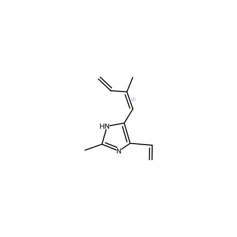 C=C/C(C)=C\c1[nH]c(C)nc1C=C